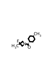 CC1(F)CN(C(=O)[C@H]2CC[C@@H](C)CC2)C1